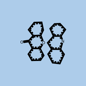 O=c1c2ccccc2oc2ccccc12.c1ccc2nc3ccccc3cc2c1